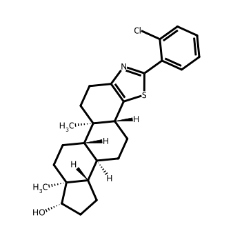 C[C@]12CCc3nc(-c4ccccc4Cl)sc3[C@@H]1CC[C@@H]1[C@@H]2CC[C@]2(C)[C@@H](O)CC[C@@H]12